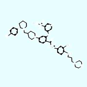 CS(=O)(=O)c1cncc(Oc2cc(N3CCC(CN4CCCC[C@H]4c4ccc(Cl)cc4)CC3)ccc2C(=O)NS(=O)(=O)c2ccc(NCCCN3CCOCC3)c([N+](=O)[O-])c2)c1